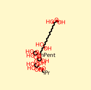 CCCCCC(CCCC(O)C(O)CCCCCCCCCCCCCC(O)C1OC1O)O[C@@H]1OC[C@@H](O)[C@H](O)[C@H]1O[C@@H]1OC[C@@H](O)[C@H](O)[C@H]1O[C@@H]1O[C@H](COC(=O)CC(C)C)[C@@H](O)[C@H](O)[C@H]1O